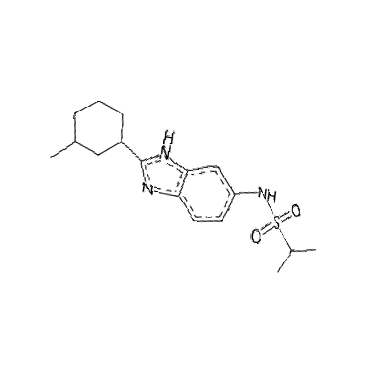 CC1CCCC(c2nc3ccc(NS(=O)(=O)C(C)C)cc3[nH]2)C1